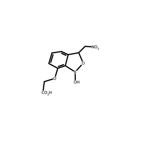 O=C(O)COc1cccc2c1B(O)OC2C[N+](=O)[O-]